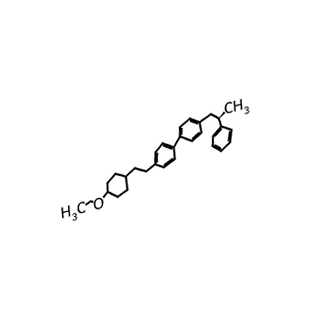 CCOC1CCC(CCc2ccc(-c3ccc(C[C@@H](C)c4ccccc4)cc3)cc2)CC1